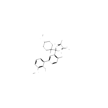 COc1cccc(-c2ccc(C)c(C3(C4(C)CCC(OC)CC4)N=C(C)C(N)=N3)c2)c1F